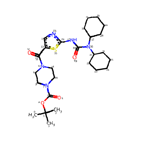 CC(C)(C)OC(=O)N1CCN(C(=O)c2cnc(NC(=O)N(C3CCCCC3)C3CCCCC3)s2)CC1